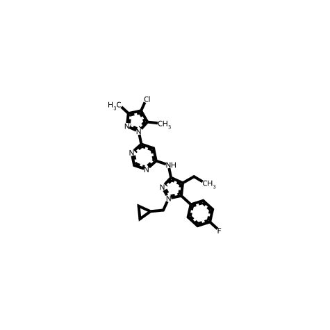 CCc1c(Nc2cc(-n3nc(C)c(Cl)c3C)ncn2)nn(CC2CC2)c1-c1ccc(F)cc1